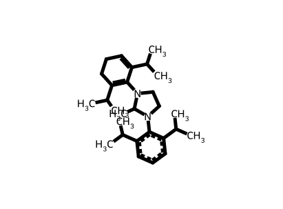 CC(C)C1=CCCC(C(C)C)=C1N1CCN(c2c(C(C)C)cccc2C(C)C)C1C